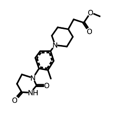 COC(=O)CC1CCN(c2ccc(N3CCC(=O)NC3=O)c(C)c2)CC1